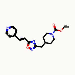 CC(C)(C)OC(=O)N1CCC(Cc2noc(/C=C/c3ccncc3)n2)CC1